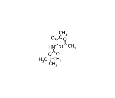 COC(=O)C(NC(=O)OC(C)(C)C)OC(C)=O